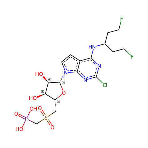 O=P(O)(O)CS(=O)(=O)C[C@H]1O[C@@H](n2ccc3c(NC(CCF)CCF)nc(Cl)nc32)[C@H](O)[C@@H]1O